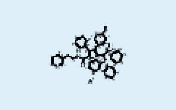 CC(C)C(c1[nH]c(C(=O)NCCc2cccnc2)c(-c2ccccc2)c1-c1ccc(F)cc1)[P+](c1ccccc1)(c1ccccc1)c1ccccc1.[Br-]